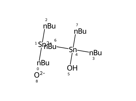 CCC[CH2][Sn+2][CH2]CCC.CCC[CH2][Sn]([OH])([CH2]CCC)[CH2]CCC.[O-2]